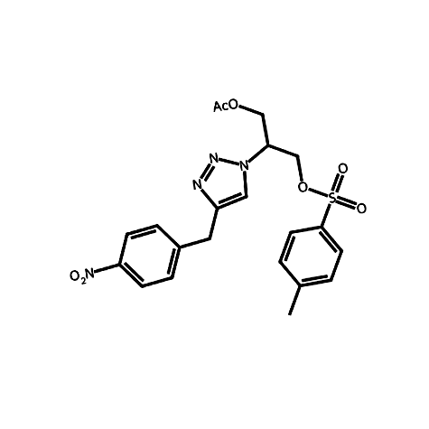 CC(=O)OCC(COS(=O)(=O)c1ccc(C)cc1)n1cc(Cc2ccc([N+](=O)[O-])cc2)nn1